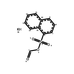 O=COS(=O)(=O)c1cccc2ccccc12.[KH]